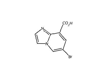 O=C(O)c1cc(Br)cn2ccnc12